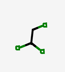 ClC[C](Cl)Cl